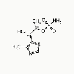 Cc1ncsc1[C@H](O)[C@H](C)OS(N)(=O)=O